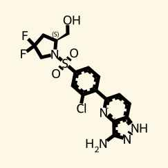 Nc1n[nH]c2ccc(-c3ccc(S(=O)(=O)N4CC(F)(F)C[C@H]4CO)cc3Cl)nc12